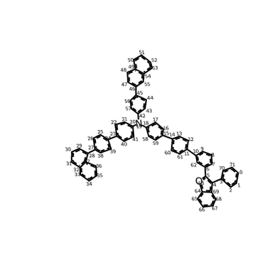 c1ccc(-c2c(-c3cccc(-c4ccc(-c5ccc(N(c6ccc(-c7ccc(-c8cccc9ccccc89)cc7)cc6)c6ccc(-c7ccc8ccccc8c7)cc6)cc5)cc4)c3)oc3ccccc23)cc1